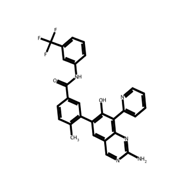 Cc1ccc(C(=O)Nc2cccc(C(F)(F)F)c2)cc1-c1cc2cnc(N)nc2c(-c2ccccn2)c1O